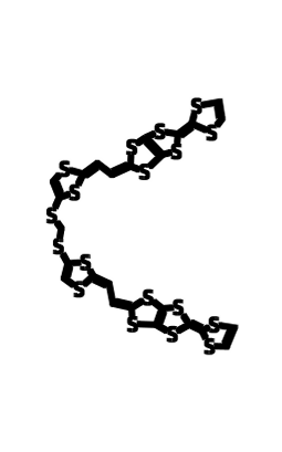 C1=CSC(=C2SC3=C(SC(=CC=C4SC=C(SCSC5=CSC(=CC=C6SC7=C(S6)SC(=C6SC=CS6)S7)S5)S4)S3)S2)S1